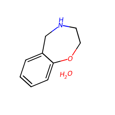 O.c1ccc2c(c1)CNCCO2